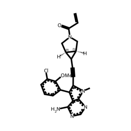 C=CC(=O)N1C[C@@H]2C(C#Cc3c(-c4cccc(Cl)c4OC)c4c(N)ncnc4n3C)[C@@H]2C1